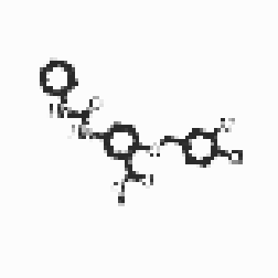 COC(=O)c1cc(NC(=O)Nc2ccccc2)ccc1OCc1ccc(Cl)c(Cl)c1